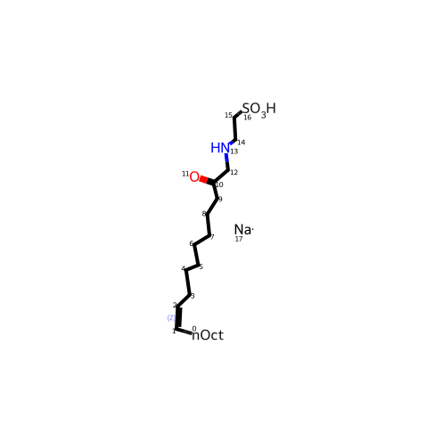 CCCCCCCC/C=C\CCCCCCCC(=O)CNCCS(=O)(=O)O.[Na]